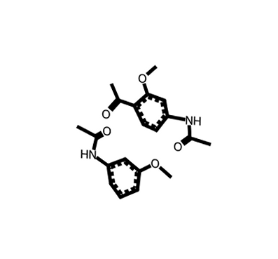 COc1cc(NC(C)=O)ccc1C(C)=O.COc1cccc(NC(C)=O)c1